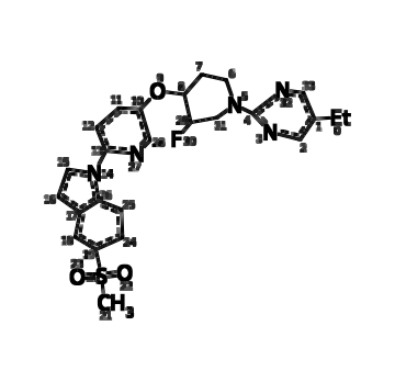 CCc1cnc(N2CCC(Oc3ccc(-n4ccc5cc(S(C)(=O)=O)ccc54)nc3)C(F)C2)nc1